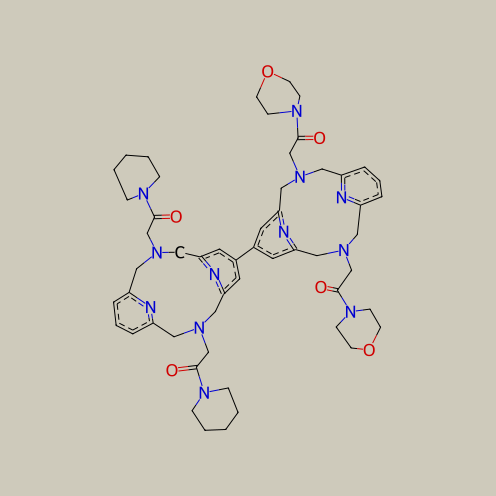 O=C(CN1Cc2cccc(n2)CN(CC(=O)N2CCCCC2)Cc2cc(-c3cc4nc(c3)CN(CC(=O)N3CCOCC3)Cc3cccc(n3)CN(CC(=O)N3CCOCC3)C4)cc(n2)C1)N1CCCCC1